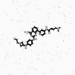 CN(C)CC=CC(=O)Nc1ccnc(-c2cccc3c(N)nc(Nc4ccc(NC5CN(CCF)C5)cc4)nc23)c1